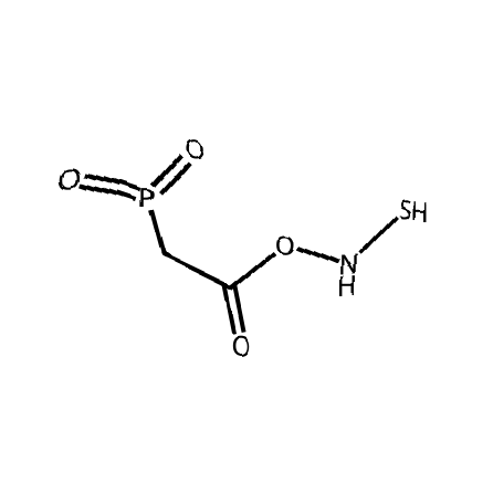 O=C(CP(=O)=O)ONS